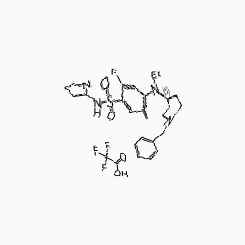 CCN(c1cc(F)c(S(=O)(=O)Nc2cscn2)cc1C)[C@H]1CCN(Cc2ccccc2)C1.O=C(O)C(F)(F)F